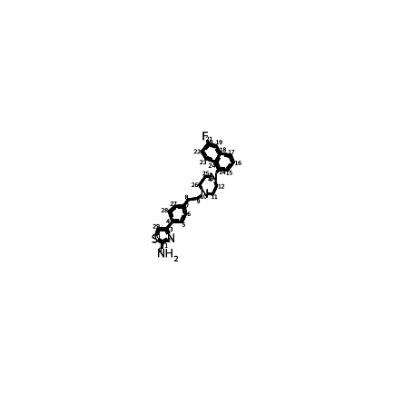 Nc1nc(-c2ccc(CCN3CCN(c4cccc5cc(F)ccc45)CC3)cc2)cs1